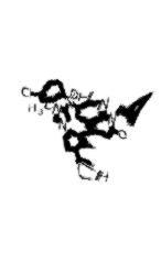 C#Cc1cccc(-c2cc(=O)n(CC3CC3)c3ncc([Si@](O)(c4ccc(Cl)cc4)c4cncn4C)cc23)c1